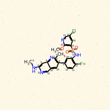 CNc1cc2nc(C)c(-c3ccc(F)c(NS(=O)(=O)c4cc(Cl)cnc4OC)c3)cc2cn1